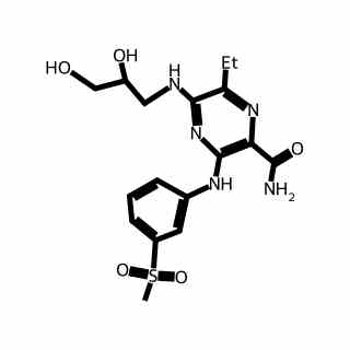 CCc1nc(C(N)=O)c(Nc2cccc(S(C)(=O)=O)c2)nc1NCC(O)CO